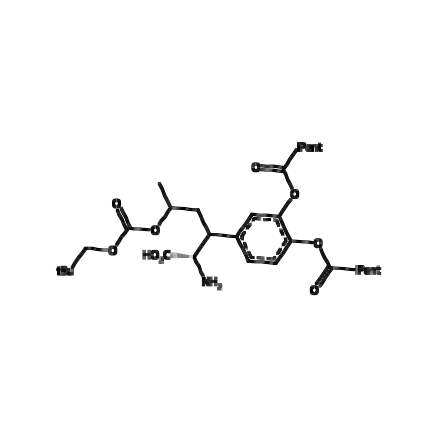 CCCC(C)C(=O)Oc1ccc(C(CC(C)OC(=O)OCC(C)(C)C)[C@H](N)C(=O)O)cc1OC(=O)C(C)CCC